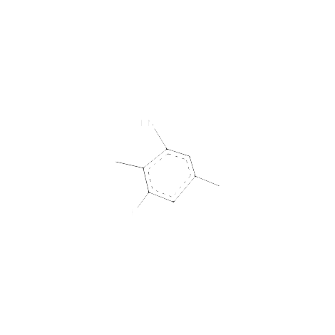 Nc1cc(F)cc(F)c1S